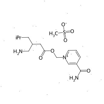 CC(C)CC(CN)CC(=O)OC[n+]1cccc(C(N)=O)c1.CS(=O)(=O)[O-]